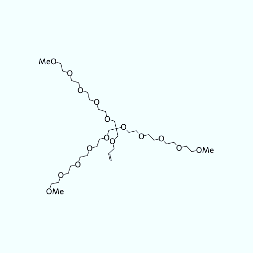 C=CCOCC(COCCOCCOCCOCCOC)(COCCOCCOCCOCCOC)OCCOCCOCCOCCOC